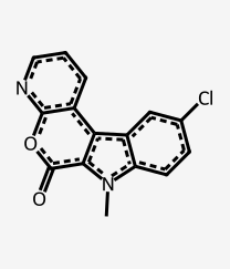 Cn1c2ccc(Cl)cc2c2c3cccnc3oc(=O)c21